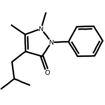 Cc1c(CC(C)C)c(=O)n(-c2ccccc2)n1C